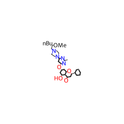 CCCCC(CN1CCN(c2cc(Oc3cc(O)c4c(=O)cc(-c5ccccc5)oc4c3)nc(C)n2)CC1)OC